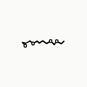 CCOCOCCCCOC[C@@H]1CO1